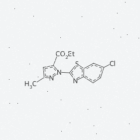 CCOC(=O)c1cc(C)nn1-c1nc2ccc(Cl)cc2s1